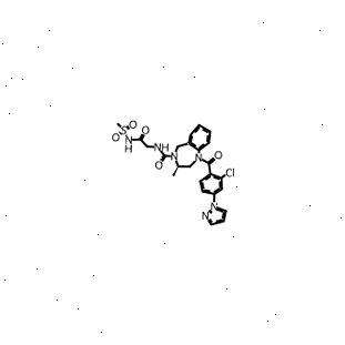 C[C@@H]1CN(C(=O)c2ccc(-n3cccn3)cc2Cl)c2ccccc2CN1C(=O)NCC(=O)NS(C)(=O)=O